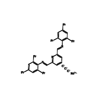 CC(C)c1cc(C(C)C)c(N=Cc2cccc(C=Nc3c(C(C)C)cc(C(C)C)cc3C(C)C)n2)c(C(C)C)c1.[Cl-].[Cl-].[Cl-].[Nd+3]